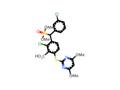 COc1cc(OC)nc(Sc2ccc(C(c3cccc(Cl)c3)P(=O)(OC)OC)c(Cl)c2C(=O)O)n1